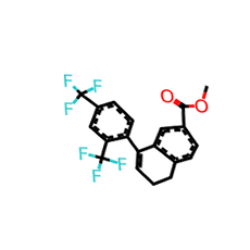 COC(=O)c1ccc2c(c1)C(c1ccc(C(F)(F)F)cc1C(F)(F)F)=CCC2